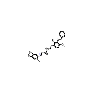 COc1ccc(CCNC2OC2/C=C/c2cc3c(cc2C)OCO3)c(F)c1OCc1ccccc1